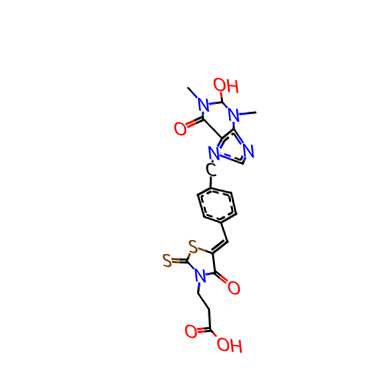 CN1C(=O)c2c(ncn2Cc2ccc(/C=C3\SC(=S)N(CCC(=O)O)C3=O)cc2)N(C)C1O